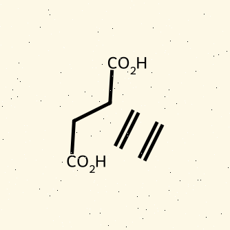 C=C.C=C.O=C(O)CCC(=O)O